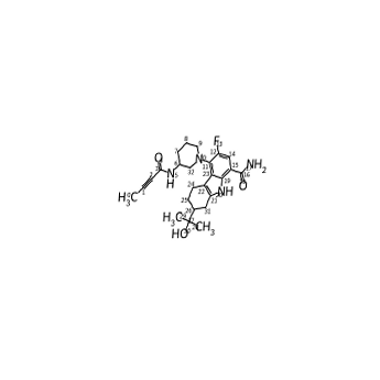 CC#CC(=O)NC1CCCN(c2c(F)cc(C(N)=O)c3[nH]c4c(c23)CCC(C(C)(C)O)C4)C1